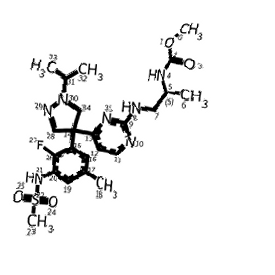 COC(=O)N[C@@H](C)CNc1nccc(C2(c3cc(C)cc(NS(C)(=O)=O)c3F)C=NN(C(C)C)C2)n1